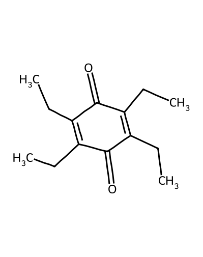 CCC1=C(CC)C(=O)C(CC)=C(CC)C1=O